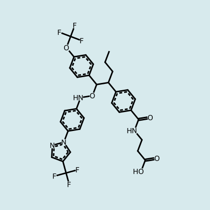 CCCC(c1ccc(C(=O)NCCC(=O)O)cc1)C(ONc1ccc(-n2cc(C(F)(F)F)cn2)cc1)c1ccc(OC(F)(F)F)cc1